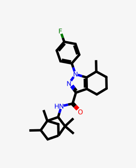 CC1CCCc2c(C(=O)NC3C(C)(C)C4CC(C)C3(C)C4)nn(-c3ccc(F)cc3)c21